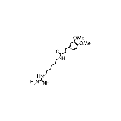 COc1ccc(/C=C/C(=O)NCCCCCCNC(=N)N)cc1OC